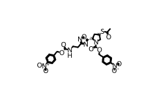 CC(=O)S[C@H]1C[C@@H](c2nc(CCNC(=O)OCc3ccc([N+](=O)[O-])cc3)no2)N(C(=O)OCc2ccc([N+](=O)[O-])cc2)C1